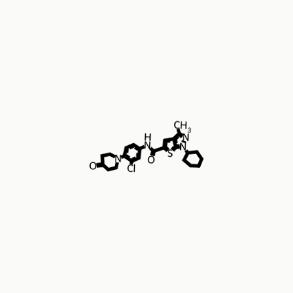 Cc1nn(C2CCCCC2)c2sc(C(=O)Nc3ccc(N4CCC(=O)CC4)c(Cl)c3)cc12